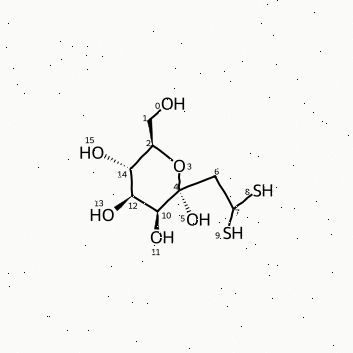 OC[C@H]1O[C@@](O)(CC(S)S)[C@@H](O)[C@@H](O)[C@@H]1O